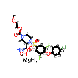 COCCOC(=O)N1CCN(S(=O)(=O)c2cc(F)c(Oc3ccc(Cl)cc3)c(F)c2)[C@@H](C(=O)NO)C1.[MgH2]